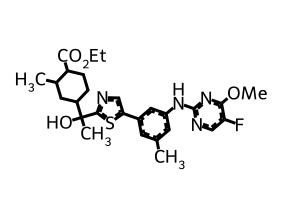 CCOC(=O)C1CCC(C(C)(O)c2ncc(-c3cc(C)cc(Nc4ncc(F)c(OC)n4)c3)s2)CC1C